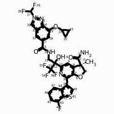 C[C@]1(C(N)=O)COc2c1cc(C(O)(CNC(=O)c1cc(OC3CC3)c3nn(C(F)F)cc3c1)C(F)(F)F)nc2-c1csc2c(F)cccc12